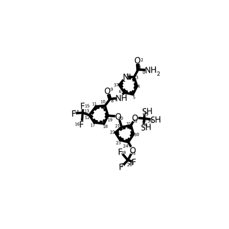 NC(=O)c1ccc(NC(=O)c2cc(C(F)(F)F)ccc2Oc2ccc(OC(F)(F)F)cc2OC(S)(S)S)cn1